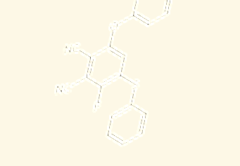 N#Cc1c(Oc2ccccc2)cc(Sc2ccccc2)c(F)c1C#N